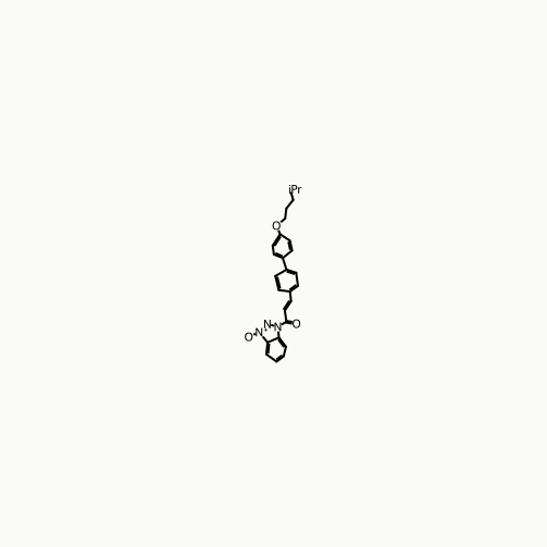 CC(C)CCCOc1ccc(-c2ccc(C=CC(=O)n3n[n+]([O-])c4ccccc43)cc2)cc1